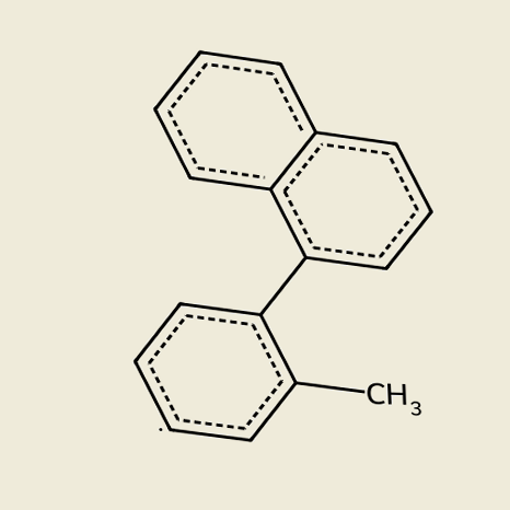 Cc1c[c]ccc1-c1cccc2ccccc12